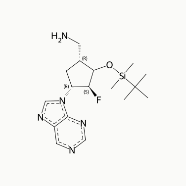 CC(C)(C)[Si](C)(C)OC1[C@@H](CN)C[C@@H](n2cnc3cncnc32)[C@@H]1F